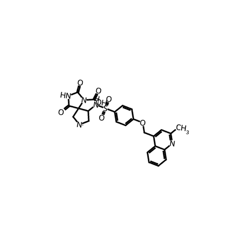 Cc1cc(COc2ccc(S(=O)(=O)NC3C[N]CC34C(=O)NC(=O)N4C(=O)O)cc2)c2ccccc2n1